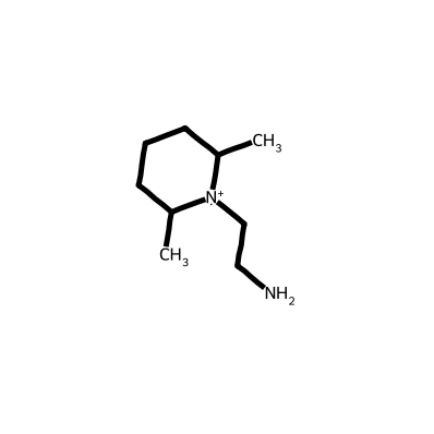 CC1CCCC(C)[N+]1CCN